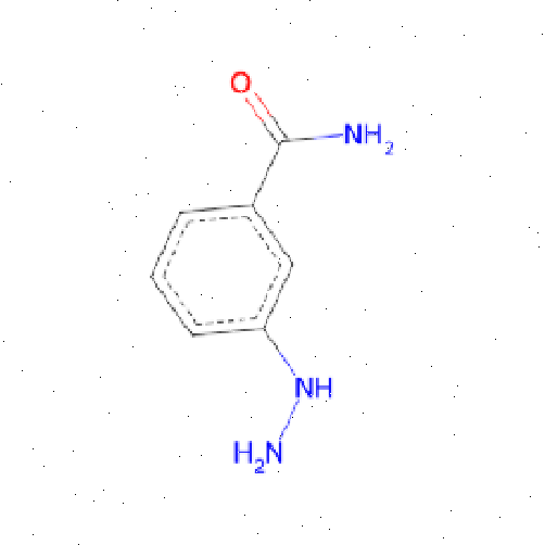 NNc1cccc(C(N)=O)c1